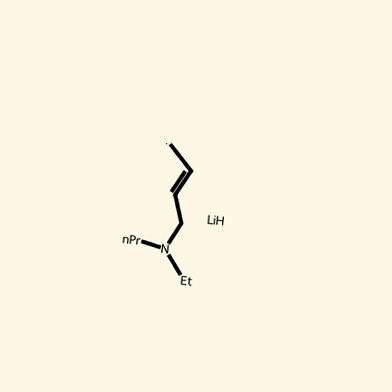 [CH2]/C=C/CN(CC)CCC.[LiH]